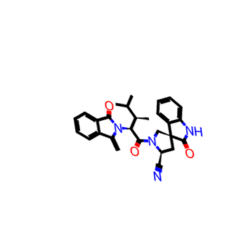 C=C1c2ccccc2C(=O)N1[C@H](C(=O)N1C[C@]2(C[C@H]1C#N)C(=O)Nc1ccccc12)[C@H](C)C(C)C